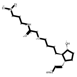 CCCCCCC=C[C@H]1CC[C@@H](O)[C@@H]1CCCCOCC(=O)NCCCN(CC)CC